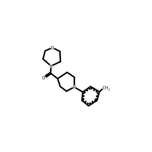 Cc1cccc(N2CCC(C(=O)N3CCOCC3)CC2)c1